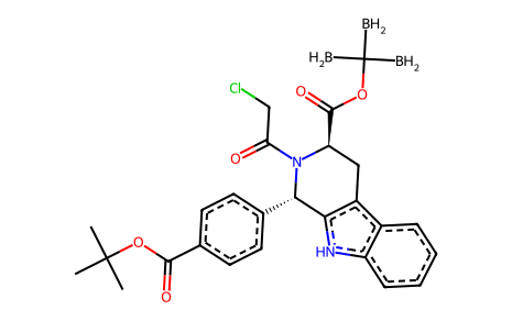 BC(B)(B)OC(=O)[C@H]1Cc2c([nH]c3ccccc23)[C@H](c2ccc(C(=O)OC(C)(C)C)cc2)N1C(=O)CCl